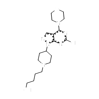 OCCCCN1CCC(n2ncc3c(N4CCOCC4)nc(Cl)nc32)CC1